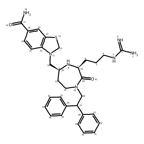 N=C(N)NCCC[C@@H]1N[C@H](CN2CSc3cc(C(N)=O)ccc32)CCN(CC(c2ccccc2)c2ccccc2)C1=O